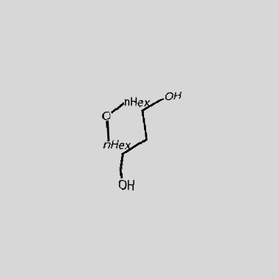 CCCCCCOCCCCCC.OCCCO